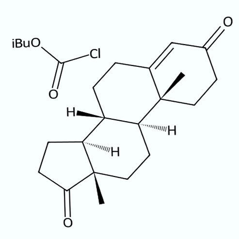 CC(C)COC(=O)Cl.C[C@]12CCC(=O)C=C1CC[C@@H]1[C@@H]2CC[C@]2(C)C(=O)CC[C@@H]12